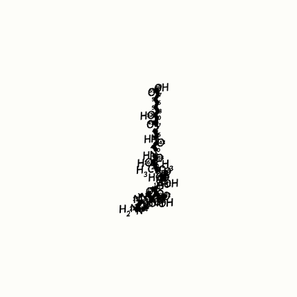 CC(C)(COP(=O)(O)OP(=O)(O)OC[C@H]1O[C@@H](n2cnc3c(N)ncnc32)[C@H](O)[C@@H]1OP(=O)(O)O)[C@@H](O)C(=O)NCCC(=O)NCCSC(=O)CC(O)CCCCCC(=O)O